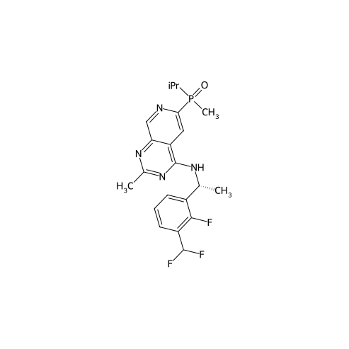 Cc1nc(N[C@H](C)c2cccc(C(F)F)c2F)c2cc(P(C)(=O)C(C)C)ncc2n1